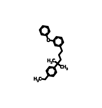 CCc1ccc(C(C)(C)CCCc2cccc(Oc3ccccc3)c2)cc1